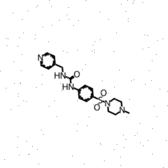 CN1CCN(S(=O)(=O)c2ccc(NC(=O)NCc3ccncc3)cc2)CC1